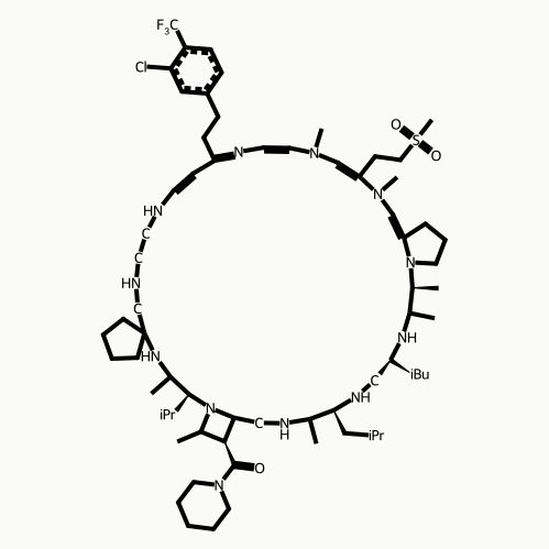 CC[C@H](C)[C@H]1CN[C@@H](CC(C)C)C(C)NCC2[C@@H](C(=O)N3CCCCC3)C(C)N2[C@@H](C(C)C)C(C)NC2(CCCC2)CNCCNC=CC(CCc2ccc(C(F)(F)F)c(Cl)c2)=NC=CN(C)C=C(CCS(C)(=O)=O)N(C)C=C2CCCN2[C@@H](C)C(C)N1